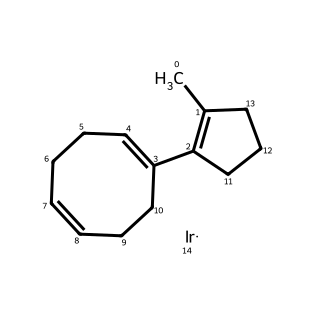 CC1=C(/C2=C/CC/C=C\CC2)CCC1.[Ir]